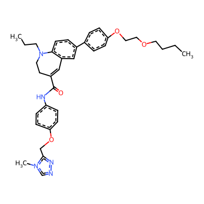 CCCCOCCOc1ccc(-c2ccc3c(c2)C=C(C(=O)Nc2ccc(OCc4nncn4C)cc2)CCN3CCC)cc1